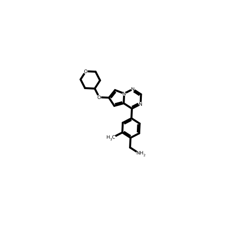 Cc1cc(-c2ncnn3cc(OC4CCOCC4)cc23)ccc1CN